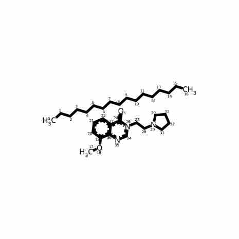 CCCCCCCCCCCCCCCCC.COc1cccc2c(=O)n(CCN3CCCC3)cnc12